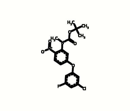 CN(C(=O)OC(C)(C)C)c1cc(Oc2cc(F)cc(Cl)c2)ccc1[N+](=O)[O-]